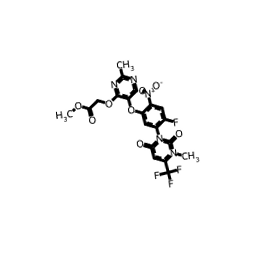 COC(=O)COc1nc(C)ncc1Oc1cc(-n2c(=O)cc(C(F)(F)F)n(C)c2=O)c(F)cc1[N+](=O)[O-]